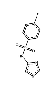 O=S(=O)(Nc1ncns1)c1ccc(F)cc1